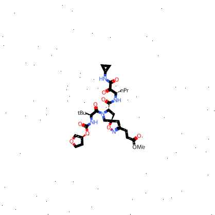 CCC[C@H](NC(=O)[C@@H]1C[C@]2(CC(CCC(=O)OC)=NO2)CN1C(=O)[C@@H](NC(=O)O[C@H]1CCOC1)C(C)(C)C)C(=O)C(=O)NC1CC1